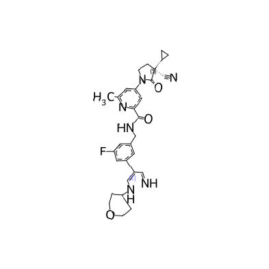 Cc1cc(N2CC[C@@](C#N)(C3CC3)C2=O)cc(C(=O)NCc2cc(F)cc(/C(C=N)=C/NC3CCOCC3)c2)n1